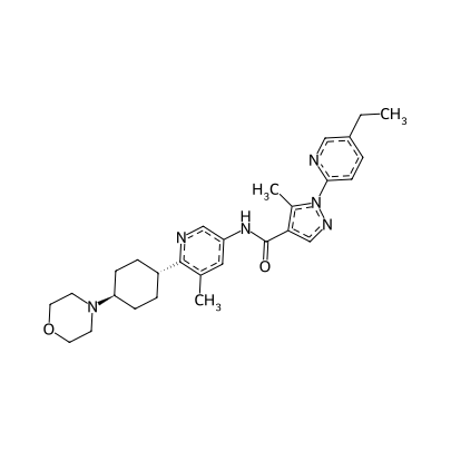 CCc1ccc(-n2ncc(C(=O)Nc3cnc([C@H]4CC[C@H](N5CCOCC5)CC4)c(C)c3)c2C)nc1